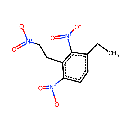 CCc1ccc([N+](=O)[O-])c(CC[N+](=O)[O-])c1[N+](=O)[O-]